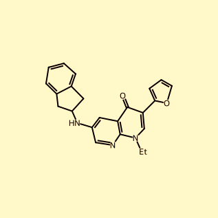 CCn1cc(-c2ccco2)c(=O)c2cc(NC3Cc4ccccc4C3)cnc21